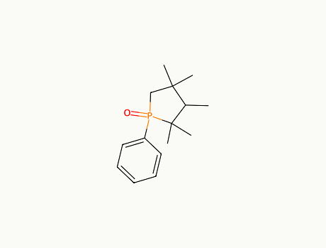 CC1C(C)(C)CP(=O)(c2ccccc2)C1(C)C